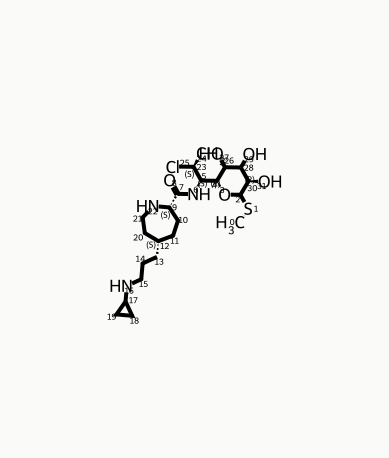 CSC1O[C@H]([C@H](NC(=O)[C@@H]2CC[C@H](CCCNC3CC3)CCN2)[C@H](C)Cl)C(O)C(O)[C@H]1O